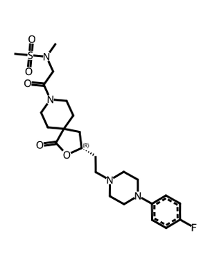 CN(CC(=O)N1CCC2(CC1)C[C@H](CCN1CCN(c3ccc(F)cc3)CC1)OC2=O)S(C)(=O)=O